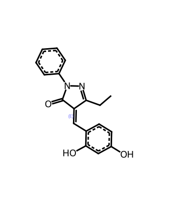 CCC1=NN(c2ccccc2)C(=O)/C1=C/c1ccc(O)cc1O